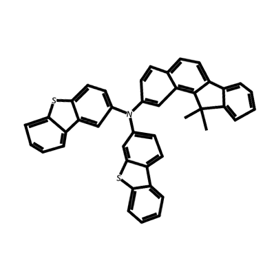 CC1(C)c2ccccc2-c2ccc3ccc(N(c4ccc5c(c4)sc4ccccc45)c4ccc5sc6ccccc6c5c4)cc3c21